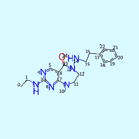 CCNc1ncc2c(n1)N(C)CCN(NCCc1ccccc1)C2=O